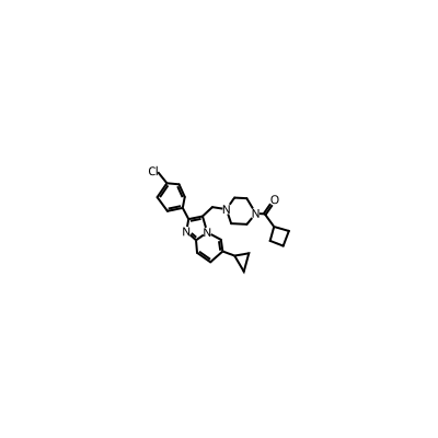 O=C(C1CCC1)N1CCN(Cc2c(-c3ccc(Cl)cc3)nc3ccc(C4CC4)cn23)CC1